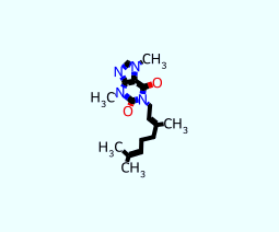 CC(C)=CCC/C(C)=C/Cn1c(=O)c2c(ncn2C)n(C)c1=O